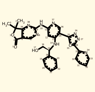 CC1(C)OC(=O)c2cnc(Nc3cc(N[C@H](CO)c4ccccc4)c(-c4nnc(-c5ccccn5)o4)cn3)nc21